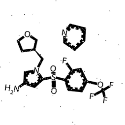 Nc1cc(S(=O)(=O)c2ccc(OC(F)(F)F)cc2F)n(C[C@H]2CCOC2)c1.c1ccncc1